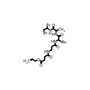 C=CCOC(=O)CCC(=O)NCCC(=O)NC(C(=O)NC(C)C(=O)NC(CC(C)C)C(C)=O)C(C)CC